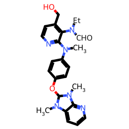 CCN(C=O)c1c(CO)ccnc1N(C)c1ccc(OC2N(C)c3cccnc3N2C)cc1